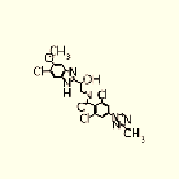 COc1cc2nc(C(O)CNC(=O)c3c(Cl)cc(-n4cnc(C)n4)cc3Cl)[nH]c2cc1Cl